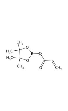 C=CC(=O)OB1OC(C)(C)C(C)(C)O1